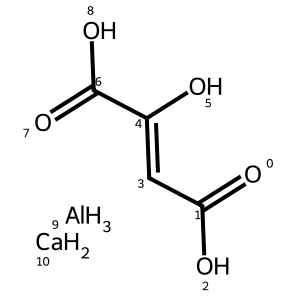 O=C(O)/C=C(\O)C(=O)O.[AlH3].[CaH2]